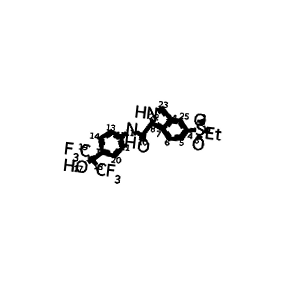 CCS(=O)(=O)c1ccc2c(C(=O)Nc3ccc(C(O)(C(F)(F)F)C(F)(F)F)cc3)[nH]cc2c1